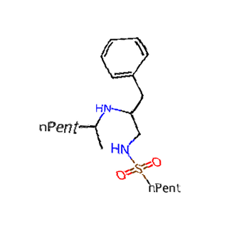 CCCCCC(C)NC(CNS(=O)(=O)CCCCC)Cc1ccccc1